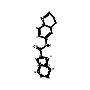 O=C(NC1=CC2CCC=NC2C=C1)c1cc2ccccc2s1